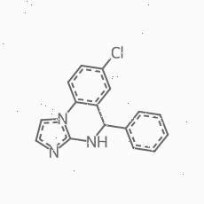 Clc1ccc2c(c1)C(c1ccccc1)Nc1nccn1-2